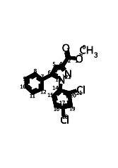 COC(=O)c1cc(-c2ccccc2)n(-c2ccc(Cl)cc2Cl)n1